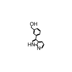 OCc1cccc(-c2c[nH]c3ncccc23)c1